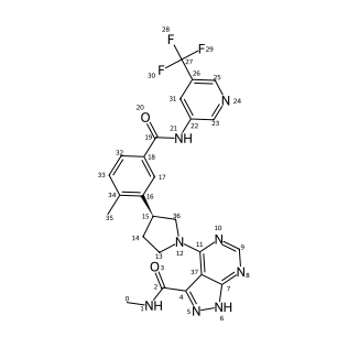 CNC(=O)c1n[nH]c2ncnc(N3CC[C@@H](c4cc(C(=O)Nc5cncc(C(F)(F)F)c5)ccc4C)C3)c12